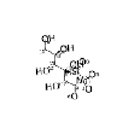 O=[SiH][Mn](=[O])(=[O])[C](=O)[C@H](O)[C@@H](O)[C@H](O)[C@H](O)CO